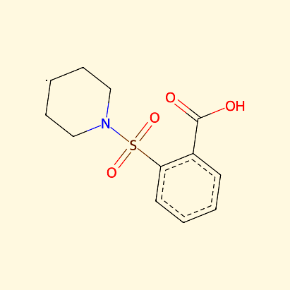 O=C(O)c1ccccc1S(=O)(=O)N1CC[CH]CC1